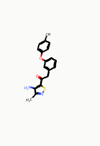 Cc1nsc(C(=O)Cc2cccc(Oc3ccc(C#N)cc3)c2)c1N